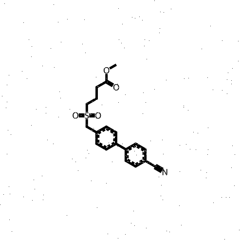 COC(=O)CCCS(=O)(=O)Cc1ccc(-c2ccc(C#N)cc2)cc1